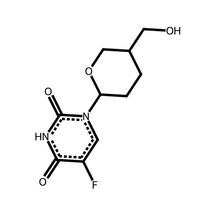 O=c1[nH]c(=O)n(C2CCC(CO)CO2)cc1F